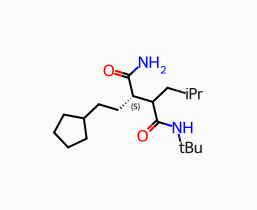 CC(C)CC(C(=O)NC(C)(C)C)[C@H](CCC1CCCC1)C(N)=O